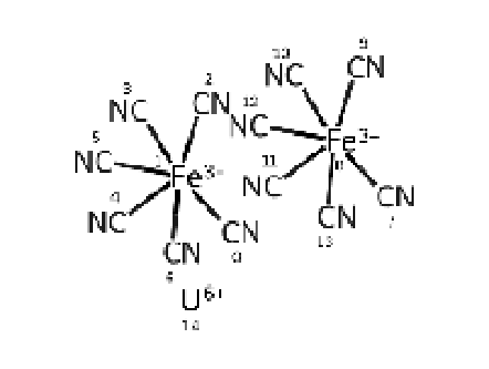 N#[C][Fe-3]([C]#N)([C]#N)([C]#N)([C]#N)[C]#N.N#[C][Fe-3]([C]#N)([C]#N)([C]#N)([C]#N)[C]#N.[U+6]